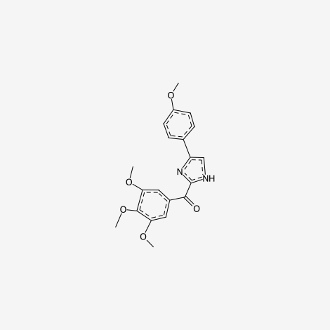 COc1ccc(-c2c[nH]c(C(=O)c3cc(OC)c(OC)c(OC)c3)n2)cc1